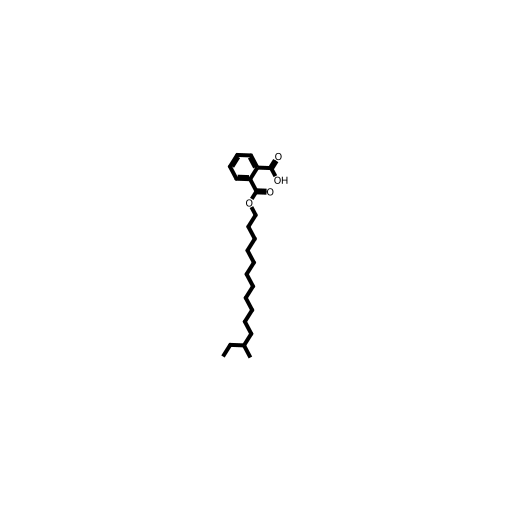 CCC(C)CCCCCCCCCCCOC(=O)c1ccccc1C(=O)O